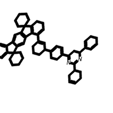 C1=CC(C2CC(C3=CC=C(C4C=C(C5=CCCC6=C5c5cc7c(cc5C65CCCCC5)-c5ccccc5C75CCCCC5)CCC4)CC3)=NC(C3CC=CCC3)=N2)=CCC1